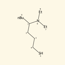 CCCCC(CCCS)N(CC)CC